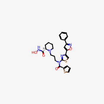 O=C(NO)[C@@H]1CCCCN1CCCN(C(=O)c1cccs1)c1nc(-c2cc(-c3ccccc3)no2)cs1